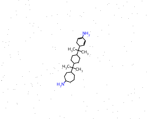 CC(C)(C1C=CC(N)=CC1)C1CCC(C(C)(C)C2CCCC(N)CC2)CC1